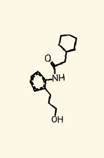 O=C(CC1CCCCC1)Nc1ccccc1CCCO